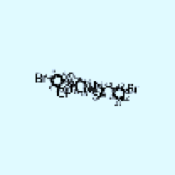 O=S(=O)(c1ccc(Br)cc1Cl)C1CCN(c2nc(Cc3cccc(Br)c3)cs2)CC1